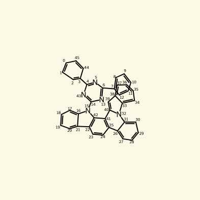 c1ccc(-c2nc(-c3ccccc3)nc(-n3c4ccccc4c4ccc5c6ccccc6n6c7ccccc7cc6c5c43)n2)cc1